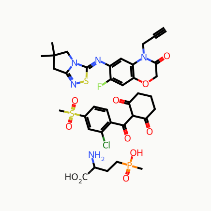 C#CCN1C(=O)COc2cc(F)c(/N=c3\snc4n3CC(C)(C)C4)cc21.CP(=O)(O)CCC(N)C(=O)O.CS(=O)(=O)c1ccc(C(=O)C2C(=O)CCCC2=O)c(Cl)c1